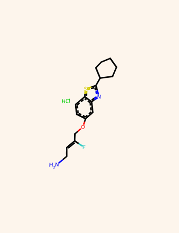 Cl.NCC=C(F)COc1ccc2sc(C3CCCCC3)nc2c1